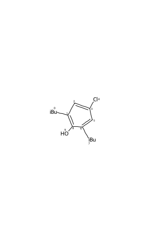 CCC(C)c1cc(Cl)cc(C(C)CC)c1O